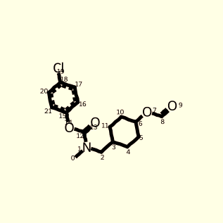 CN(CC1CCC(OC=O)CC1)C(=O)Oc1ccc(Cl)cc1